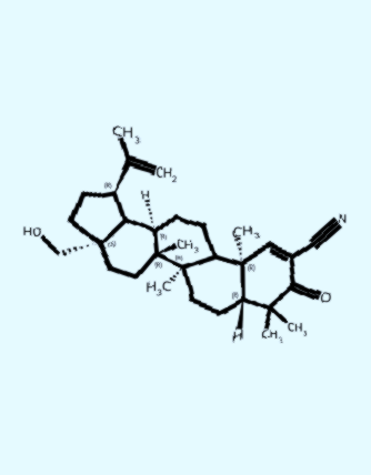 C=C(C)[C@@H]1CC[C@]2(CO)CC[C@]3(C)[C@H](CCC4[C@@]5(C)C=C(C#N)C(=O)C(C)(C)[C@@H]5CC[C@]43C)C12